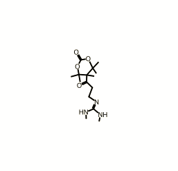 CNC(=NCCC(=O)C1(C)C(C)(C)OC(=O)OC1(C)C)NC